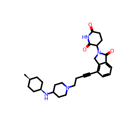 C[C@H]1CC[C@@H](NC2CCN(CCC#Cc3cccc4c3CN(C3CCC(=O)NC3=O)C4=O)CC2)CC1